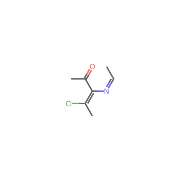 C/C=N\C(C(C)=O)=C(/C)Cl